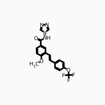 COc1ccc(C(=O)Nn2cnnc2)cc1/C=C/c1ccc(OC(F)(F)F)cc1